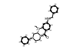 COc1cc(NCc2ccccc2)ccc1C(=O)N1CCN(c2ccccc2)CC1